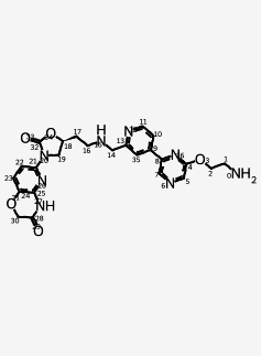 NCCOc1cncc(-c2ccnc(CNCC[C@H]3CN(c4ccc5c(n4)NC(=O)CO5)C(=O)O3)c2)n1